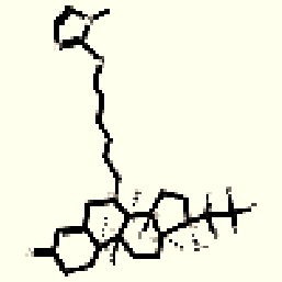 Cn1ccnc1SCCCCCC[C@@H]1CC2=CC(=O)CC[C@]2(C)[C@H]2CC[C@@]3(C)[C@@H](CC[C@@]3(O)C(F)(F)C(F)(F)F)[C@H]12